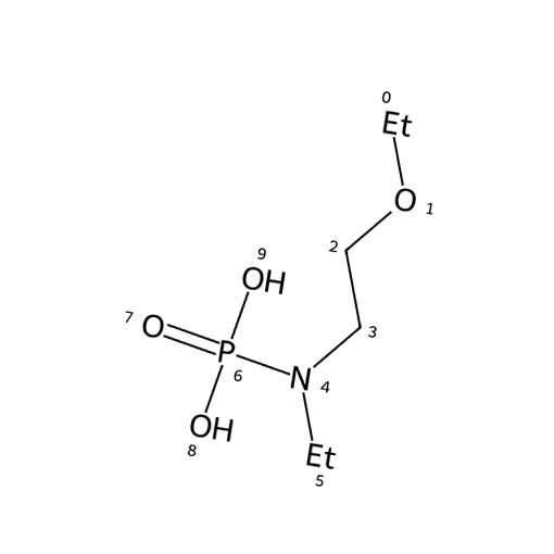 CCOCCN(CC)P(=O)(O)O